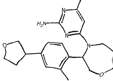 Cc1cc(N2CCCOCC2c2ccc(C3CCOC3)cc2C)nc(N)n1